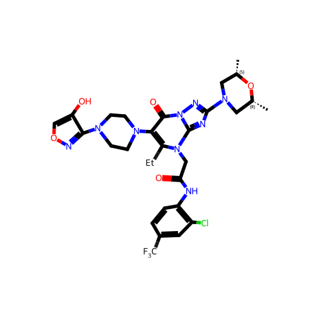 CCc1c(N2CCN(c3nocc3O)CC2)c(=O)n2nc(N3C[C@@H](C)O[C@@H](C)C3)nc2n1CC(=O)Nc1ccc(C(F)(F)F)cc1Cl